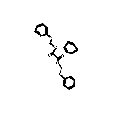 O=C(OCOc1ccccc1)C(=O)OCOc1ccccc1.c1ccccc1